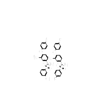 O=S(=O)(Nc1ccc(Oc2ccc(F)cc2)c(Br)c1)c1ccc(F)cc1.O=S(=O)(Nc1ccc(Oc2ccc(F)cc2)c(Br)c1)c1cccc(Cl)c1